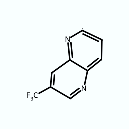 FC(F)(F)c1cnc2cc[c]nc2c1